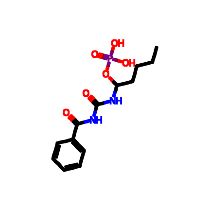 CCCCC(NC(=O)NC(=O)c1ccccc1)OP(=O)(O)O